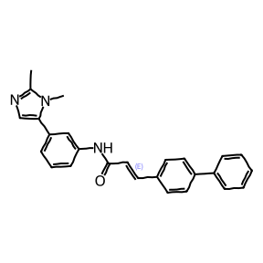 Cc1ncc(-c2cccc(NC(=O)/C=C/c3ccc(-c4ccccc4)cc3)c2)n1C